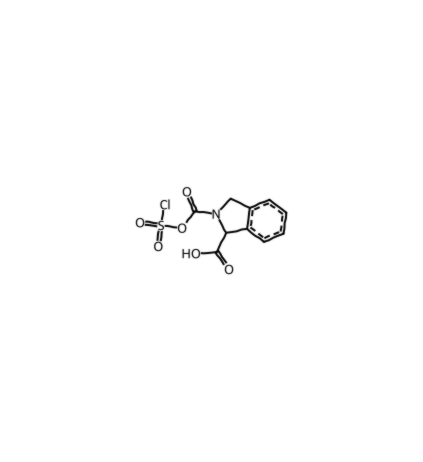 O=C(O)C1c2ccccc2CN1C(=O)OS(=O)(=O)Cl